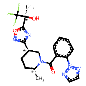 C[C@@H]1CC[C@@H](c2noc([C@](C)(O)C(F)(F)F)n2)CN1C(=O)c1ccccc1-n1nccn1